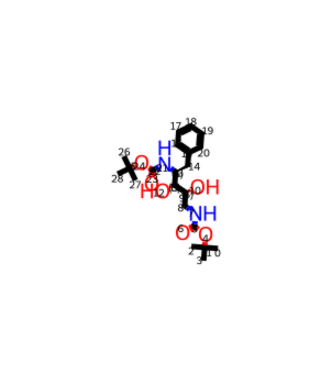 CC(C)(C)OC(=O)NC[C@H](O)[C@@H](O)[C@H](Cc1ccccc1)NC(=O)OC(C)(C)C